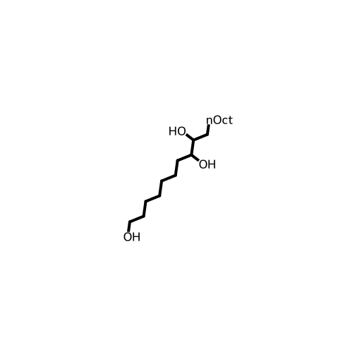 CCCCCCCCCC(O)C(O)CCCCCCCO